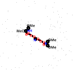 COc1ccc2[nH]c3c(C(=O)OCCOCCOc4cncc(OCCOCCOC(=O)n5c6ccc(OC)cc6c6cc(OC)ccc65)c4)cc(OC)cc3c2c1